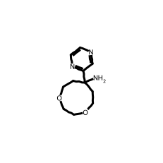 NC1(c2cnccn2)CCOCCOCC1